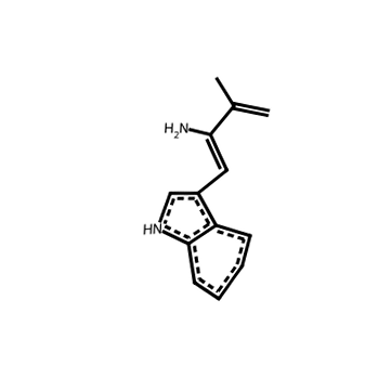 C=C(C)/C(N)=C/c1c[nH]c2ccccc12